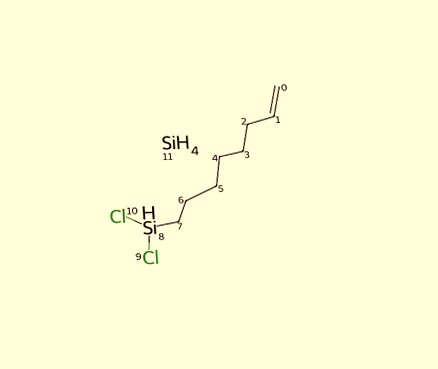 C=CCCCCCC[SiH](Cl)Cl.[SiH4]